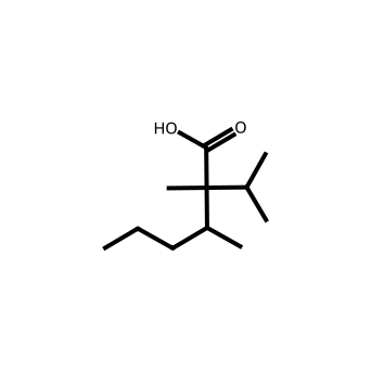 CCCC(C)C(C)(C(=O)O)C(C)C